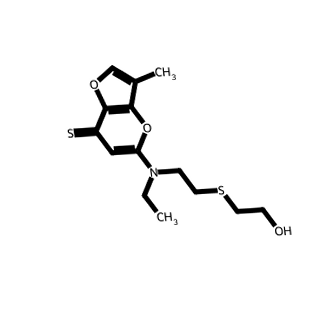 CCN(CCSCCO)c1cc(=S)c2occ(C)c2o1